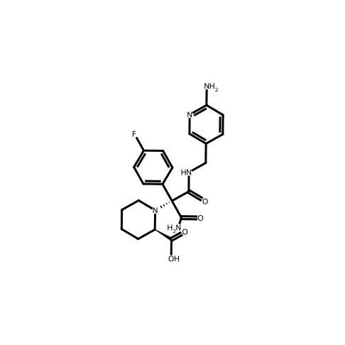 NC(=O)[C@](C(=O)NCc1ccc(N)nc1)(c1ccc(F)cc1)N1CCCC[C@@H]1C(=O)O